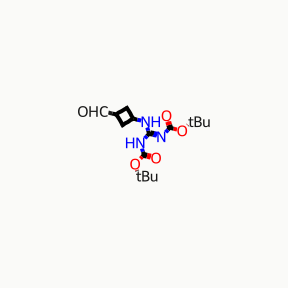 CC(C)(C)OC(=O)/N=C(/NC(=O)OC(C)(C)C)NC1CC(C=O)C1